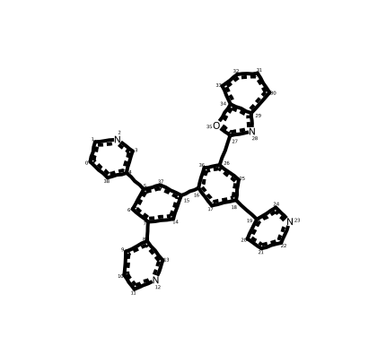 c1cncc(-c2cc(-c3cccnc3)cc(-c3cc(-c4cccnc4)cc(-c4nc5ccccc5o4)c3)c2)c1